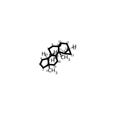 C[C@@]12CCC[C@H]1[C@@H]1CCC3=CC[C@H]4CC4[C@]3(C)[C@H]1CC2